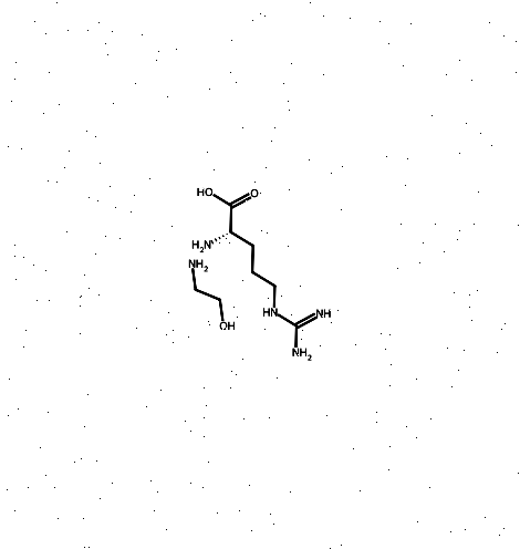 N=C(N)NCCC[C@H](N)C(=O)O.NCCO